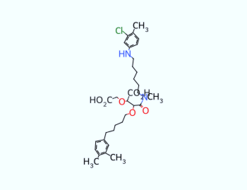 Cc1ccc(CCCCCOC(C(=O)N(C)CCCCCCNc2ccc(C)c(Cl)c2)C(OCC(=O)O)C(=O)O)cc1C